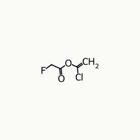 C=C(Cl)OC(=O)CF